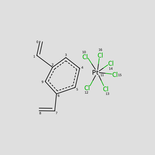 C=Cc1cccc(C=C)c1.[Cl][Pt]([Cl])([Cl])([Cl])([Cl])[Cl]